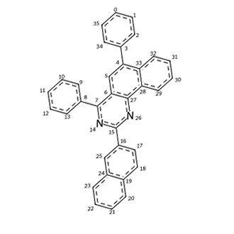 c1ccc(-c2cc3c(-c4ccccc4)nc(-c4ccc5ccccc5c4)nc3c3ccccc23)cc1